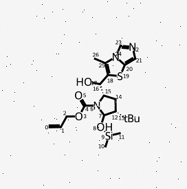 C=CCOC(=O)N1C(O[SiH](C)C)[C@@H](C(C)(C)C)C[C@H]1C(O)c1sc2cncn2c1C